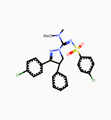 CON(C)C(=NS(=O)(=O)c1ccc(Cl)cc1)N1CC(c2ccccc2)C(c2ccc(Cl)cc2)=N1